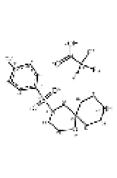 O=C(O)C(F)(F)F.O=S(=O)(c1ccc(F)cc1)N1CCOC2(CCNCC2)C1